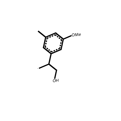 [CH2]C(CO)c1cc(C)cc(OC)c1